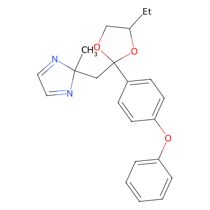 CCC1COC(CC2(C)N=CC=N2)(c2ccc(Oc3ccccc3)cc2)O1